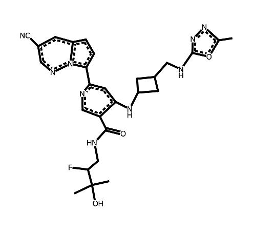 Cc1nnc(NCC2CC(Nc3cc(-c4ccc5cc(C#N)cnn45)ncc3C(=O)NCC(F)C(C)(C)O)C2)o1